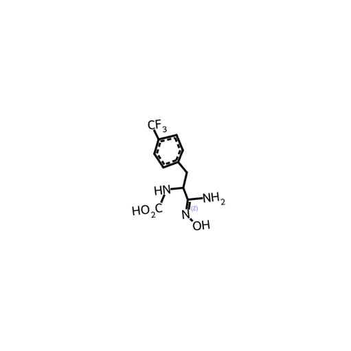 N/C(=N\O)C(Cc1ccc(C(F)(F)F)cc1)NC(=O)O